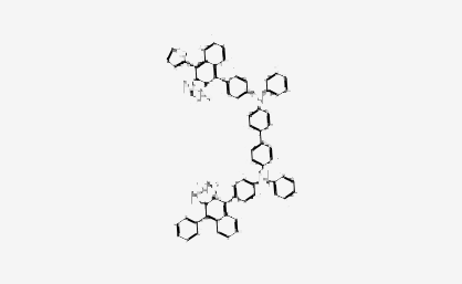 c1ccc(-c2c3ccccc3c(-c3ccc(N(c4ccccc4)c4ccc(-c5ccc(N(c6ccccc6)c6ccc(-c7c8ccccc8c(-c8cccs8)c8nsnc78)cc6)cc5)cc4)cc3)c3nsnc23)cc1